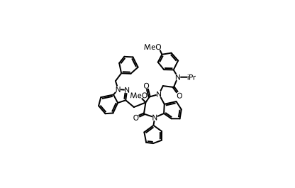 COc1ccc(N(C(=O)CN2C(=O)C(Cc3nn(Cc4ccccc4)c4ccccc34)(OC)C(=O)N(c3ccccc3)c3ccccc32)C(C)C)cc1